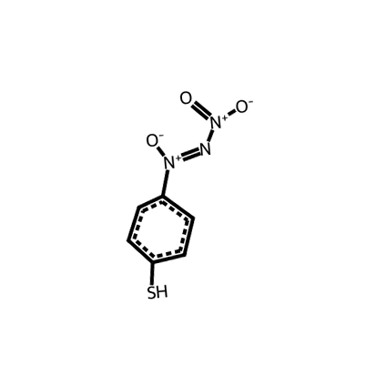 O=[N+]([O-])/N=[N+](\[O-])c1ccc(S)cc1